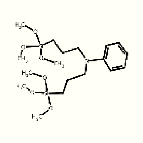 CO[Si](CCCN(CCC[Si](OC)(OC)OC)c1ccccc1)(OC)OC